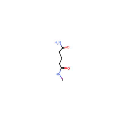 NC(=O)CCCC(=O)NI